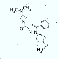 COc1ccc(-n2nc(C(=O)N3CC(N(C)C)C3)cc2-c2ccccc2)cn1